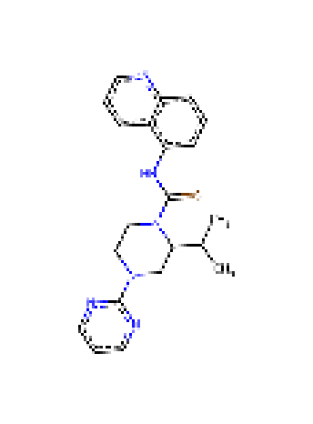 CC(C)C1CN(c2ncccn2)CCN1C(=S)Nc1cccc2ncccc12